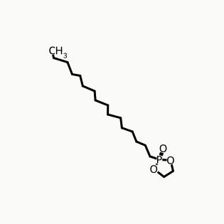 CCCCCCCCCCCCCCCCP1(=O)OCCO1